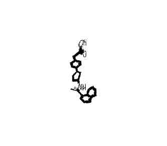 C[C@@H](NC1CCC(c2ccc(CC(=O)O)cc2)C1)c1cccc2ccccc12